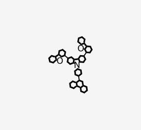 c1ccc2c(c1)cc(-c1ccc(-n3c4ccc(-c5cccc6c5oc5ccccc56)cc4c4cc(-c5cccc6c5oc5ccccc56)ccc43)cc1)c1ccccc12